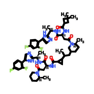 CC(CC1CC[C@H](C)N(C(=O)C[C@H](NC(=O)C2CC(C)(C)C2)C(=O)N[C@@H](C)c2ncc(-c3ccc(F)cc3F)[nH]2)C1)C1CC1C(=O)N[C@@H](CC(=O)N1CCCC[C@@H]1C)C(=O)N[C@@H](C)c1ncc(-c2ccc(F)cc2F)[nH]1